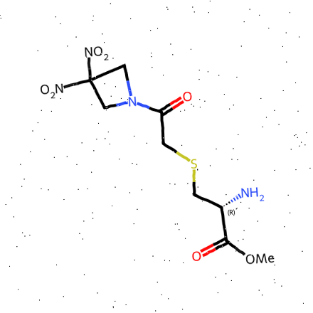 COC(=O)[C@@H](N)CSCC(=O)N1CC([N+](=O)[O-])([N+](=O)[O-])C1